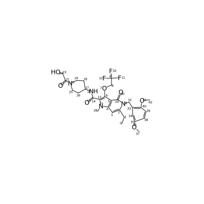 CCc1cc2c(c(OCC(F)(F)F)c(C(=O)NC3CCN(C(=O)CO)CC3)n2C)c(=O)n1Cc1cc(OC)ccc1OC